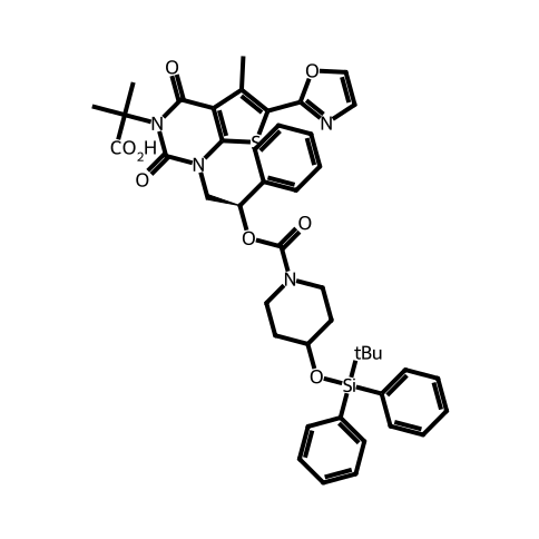 Cc1c(-c2ncco2)sc2c1c(=O)n(C(C)(C)C(=O)O)c(=O)n2C[C@H](OC(=O)N1CCC(O[Si](c2ccccc2)(c2ccccc2)C(C)(C)C)CC1)c1ccccc1